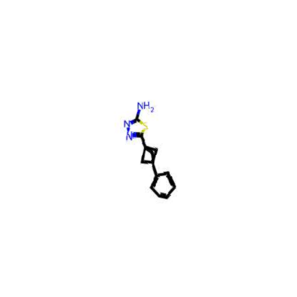 Nc1nnc(C23CC(c4ccccc4)(C2)C3)s1